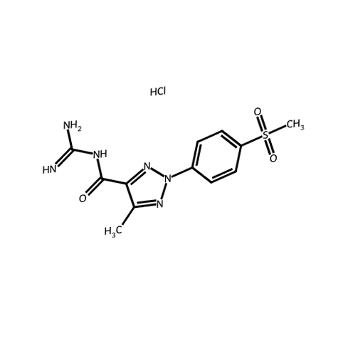 Cc1nn(-c2ccc(S(C)(=O)=O)cc2)nc1C(=O)NC(=N)N.Cl